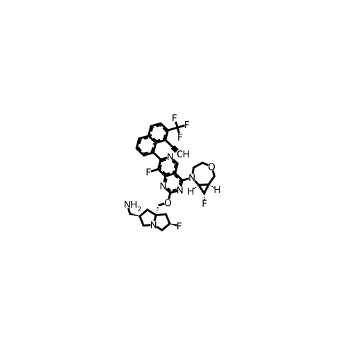 C#Cc1c(C(F)(F)F)ccc2cccc(-c3ncc4c(N5CCOC[C@H]6[C@H](F)[C@H]65)nc(OC[C@]56C[C@@H](F)CN5C[C@@H](CN)C6)nc4c3F)c12